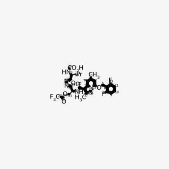 Cc1cc(OCc2c(F)cccc2F)n2nc(C)c(C(=O)N[C@@H](COC(=O)C(F)(F)F)c3nnc([C@@H](NC(=O)O)C(C)C)o3)c2c1